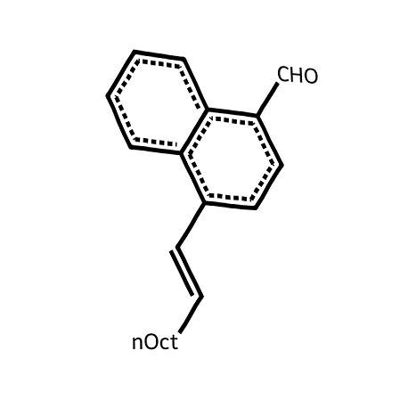 CCCCCCCCC=Cc1ccc(C=O)c2ccccc12